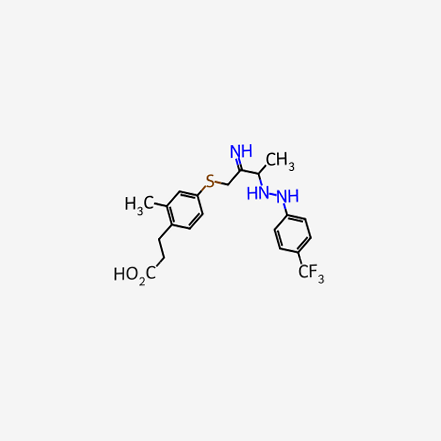 Cc1cc(SCC(=N)C(C)NNc2ccc(C(F)(F)F)cc2)ccc1CCC(=O)O